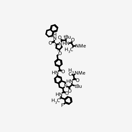 CNC(C)C(=O)NC(C(=O)N1Cc2cc(NC(=O)c3ccc(CO[C@H]4C[C@@H](C(=O)N[C@@H]5CCCc6ccccc65)N(C(=O)C(NC(=O)C(C)NC)C(C)(C)C)C4)cc3)ccc2CC1C(=O)N[C@H](C)c1ccccc1F)C(C)(C)C